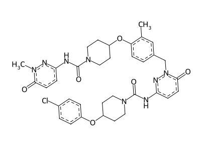 Cc1cc(Cn2nc(NC(=O)N3CCC(Oc4ccc(Cl)cc4)CC3)ccc2=O)ccc1OC1CCN(C(=O)Nc2ccc(=O)n(C)n2)CC1